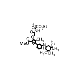 CCOC(=O)C(C)NC(=O)COc1c(C(=O)OC)sc(-c2cccc(NC3CC(C)(C)CC(C)(C)C3)c2)c1C